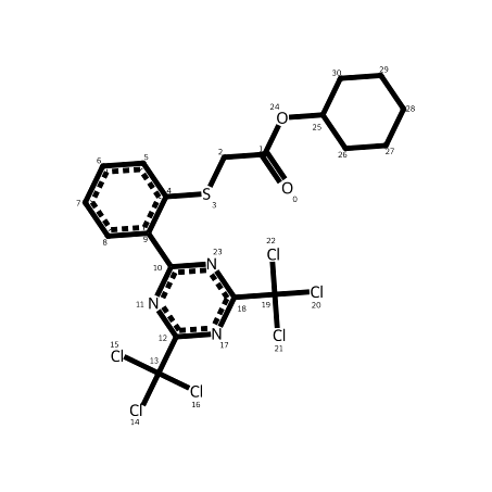 O=C(CSc1ccccc1-c1nc(C(Cl)(Cl)Cl)nc(C(Cl)(Cl)Cl)n1)OC1CCCCC1